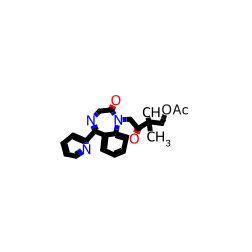 CC(=O)OCC(C)(C)C(=O)CN1C(=O)CN=C(c2ccccn2)c2ccccc21